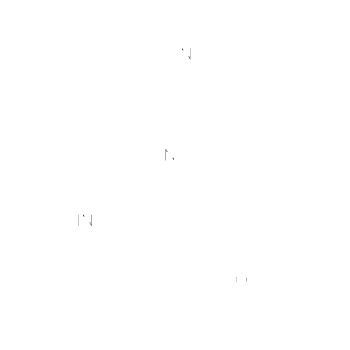 CNCCn1c2cc(OC)ccc2c2ccnc(C)c21